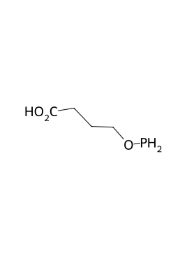 O=C(O)CCCOP